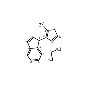 ClCCl.[Zr][C]1=C(C2C=Cc3ccccc32)C=CC1